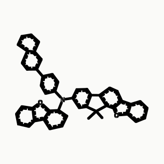 CC1(C)c2cc(N(c3ccc(-c4ccc5ccccc5c4)cc3)c3cccc4c3oc3ccccc34)ccc2-c2ccc3c(oc4ccccc43)c21